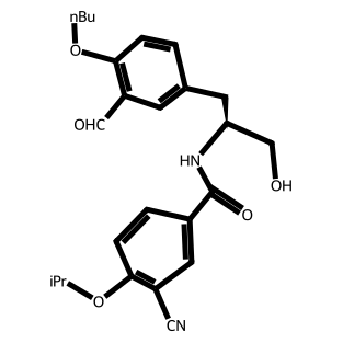 CCCCOc1ccc(C[C@@H](CO)NC(=O)c2ccc(OC(C)C)c(C#N)c2)cc1C=O